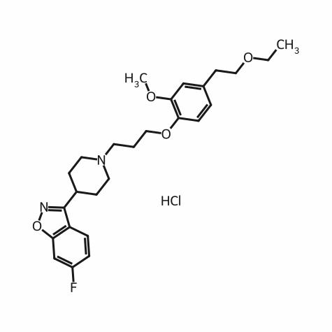 CCOCCc1ccc(OCCCN2CCC(c3noc4cc(F)ccc34)CC2)c(OC)c1.Cl